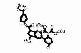 CC(C)(C)OC(=O)c1ccc(NC(=O)C2CC(O)c3cc(-c4cc(Cl)ccc4N(C(=O)OC(C)(C)C)C(=O)OC(C)(C)C)cnc32)cc1